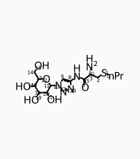 [CH2][CH]CSC[C@@H](N)C(=O)Nc1cn(C2OC(CO)C(O)C(O)C2O)nn1